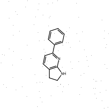 c1ccc(-c2ccc3c(n2)NCC3)cc1